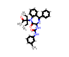 CCC(CC)(C(C)=O)N1C(=O)C(NC(=O)Nc2cccc(C)c2)N=C(c2ccccc2)c2ccccc21